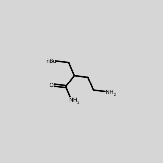 CCCCCC(CCN)C(N)=O